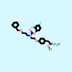 CCOC(Cc1ccc(OCCN(CCCOCc2ccccc2)C(=O)Oc2ccc(F)cc2F)cc1)C(=O)O